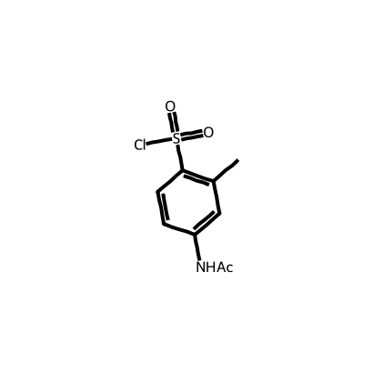 CC(=O)Nc1ccc(S(=O)(=O)Cl)c(C)c1